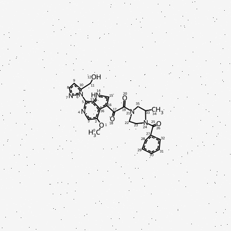 COc1cnc(-n2nccc2CO)c2[nH]cc(C(=O)C(=O)N3CCN(C(=O)c4ccccc4)C(C)C3)c12